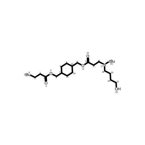 CC(C)(C)CCC(=O)OCC1CCC(COC(=O)CCN(CCCCO)C(C)(C)C)CC1